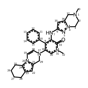 CN1CCn2nc(Nc3c(-c4ccccc4)c(N4C=Cn5c(cc6c5CCCC6)C4)cn(C)c3=O)cc2C1